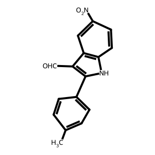 Cc1ccc(-c2[nH]c3ccc([N+](=O)[O-])cc3c2C=O)cc1